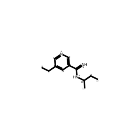 CCc1cncc(C(=N)NC(C)CC)c1